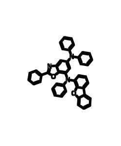 c1ccc(-c2nc3cc(N(c4ccccc4)c4ccccc4)cc(N(c4ccccc4)c4cccc5c4oc4ccccc45)c3o2)cc1